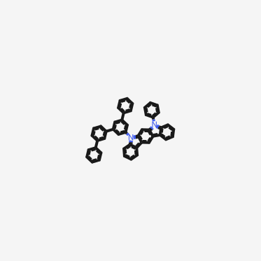 c1ccc(-c2cccc(-c3cc(-c4ccccc4)cc(-n4c5ccccc5c5cc6c7ccccc7n(-c7ccccc7)c6cc54)c3)c2)cc1